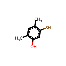 Cc1cc(C)c(S)cc1O